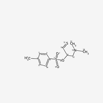 Cc1ccc(S(=O)(=O)OC(C=S)CN(C)C)cc1